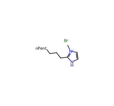 CCCCCCCCc1[nH]cc[n+]1C.[Br-]